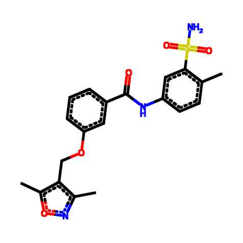 Cc1ccc(NC(=O)c2cccc(OCc3c(C)noc3C)c2)cc1S(N)(=O)=O